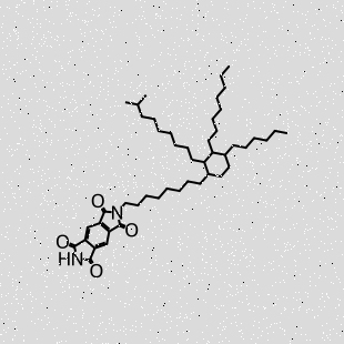 CCCCCCCCC1C(CCCCCC)CCC(CCCCCCCCn2c(=O)c3cc4c(=O)[nH]c(=O)c4cc3c2=O)C1CCCCCCCC(C)C